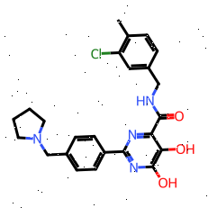 Cc1ccc(CNC(=O)c2nc(-c3ccc(CN4CCCC4)cc3)nc(O)c2O)cc1Cl